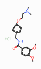 COc1ccc(C(=O)NCc2ccc(OCCN(C)C)cc2)cc1OC.Cl